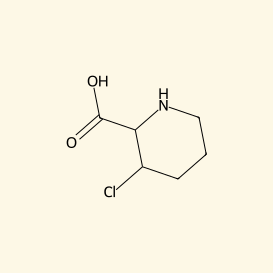 O=C(O)C1NCCCC1Cl